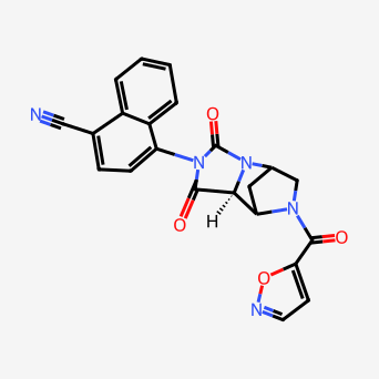 N#Cc1ccc(N2C(=O)[C@@H]3C4CC(CN4C(=O)c4ccno4)N3C2=O)c2ccccc12